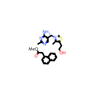 COC(=O)Cc1cccc2ccccc12.Cc1ncc(C[n+]2csc(CCO)c2C)c(N)n1